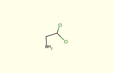 BCC(Cl)Cl